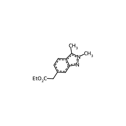 CCOC(=O)Cc1ccc2c(C)n(C)nc2c1